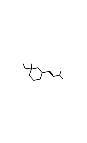 CCCCCCCC(O)/C=C/C1CCCC(O)(CC(=O)OCC)C1